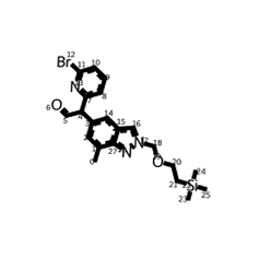 Cc1cc(C(C=O)c2cccc(Br)n2)cc2cn(COCC[Si](C)(C)C)nc12